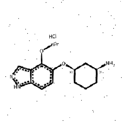 CCCOc1c(O[C@@H]2CCC[C@H](N)C2)ccc2[nH]ncc12.Cl